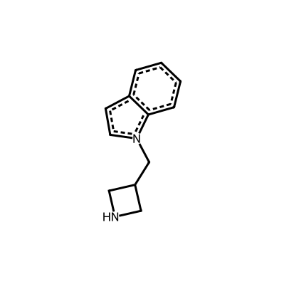 c1ccc2c(c1)ccn2CC1CNC1